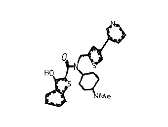 CNC1CCC(N(Cc2cc(-c3cccnc3)cs2)C(=O)c2sc3ccccc3c2O)CC1